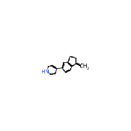 C=C1CCc2cc(C3=CCNCC3)ccc21